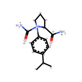 CC(C)c1ccc([N+]2(C(N)=O)CCCC2C(N)=O)cc1